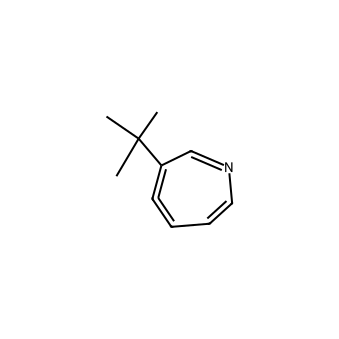 CC(C)(C)C1=C=CC=CN=C1